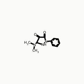 CN(C)C1NN(c2ccccc2)C(=O)C1=O